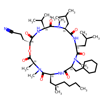 CCCC[C@@H](C)C[C@@H]1NC(=O)[C@H](CC2CCCCC2)N(C)C(=O)[C@H](CC(C)C)NC(=O)[C@H](CC(C)C)N(C)C(=O)[C@H](C(C)C)NC(=O)[C@@H](CCC#N)OC(=O)[C@H](C)N(C)C1=O